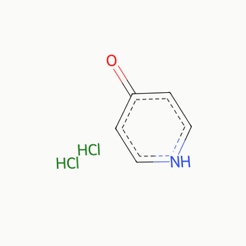 Cl.Cl.O=c1cc[nH]cc1